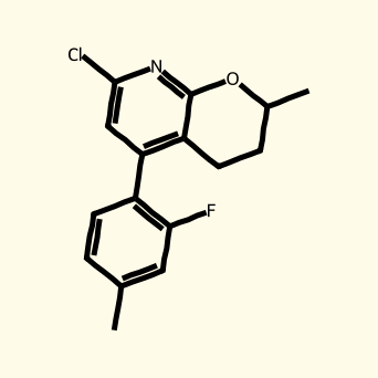 Cc1ccc(-c2cc(Cl)nc3c2CCC(C)O3)c(F)c1